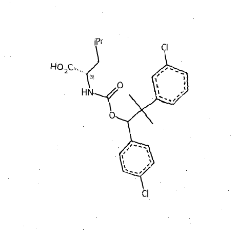 CC(C)C[C@H](NC(=O)OC(c1ccc(Cl)cc1)C(C)(C)c1cccc(Cl)c1)C(=O)O